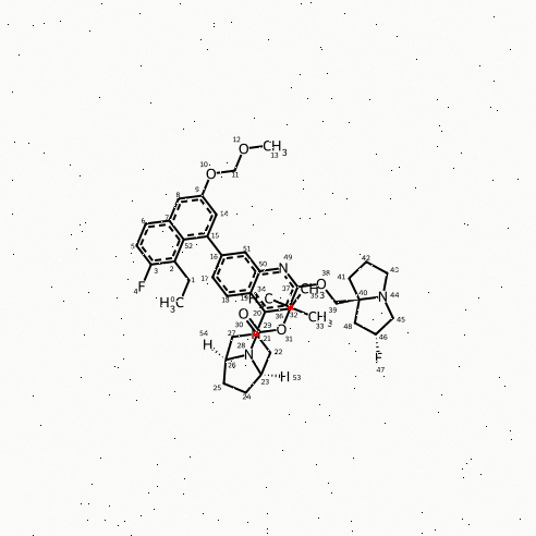 CCc1c(F)ccc2cc(OCOC)cc(-c3ccc4c(N5C[C@H]6CC[C@@H](C5)N6C(=O)OC(C)(C)C)cc(OC[C@@]56CCCN5C[C@H](F)C6)nc4c3)c12